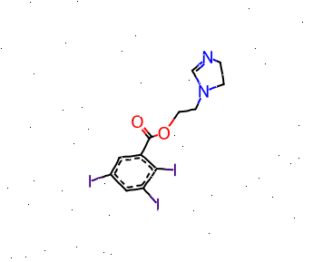 O=C(OCCN1C=NCC1)c1cc(I)cc(I)c1I